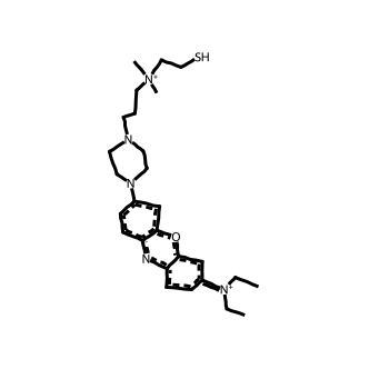 CC[N+](CC)=c1ccc2nc3ccc(N4CCN(CCC[N+](C)(C)CCS)CC4)cc3oc-2c1